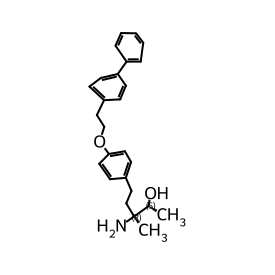 C[C@H](O)[C@](C)(N)CCc1ccc(OCCc2ccc(-c3ccccc3)cc2)cc1